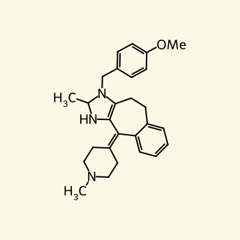 COc1ccc(CN2C3=C(NC2C)C(=C2CCN(C)CC2)c2ccccc2CC3)cc1